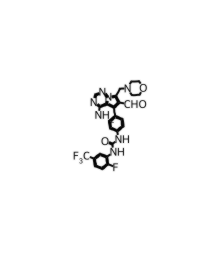 Nc1ncnn2c(CN3CCOCC3)c(C=O)c(-c3ccc(NC(=O)Nc4cc(C(F)(F)F)ccc4F)cc3)c12